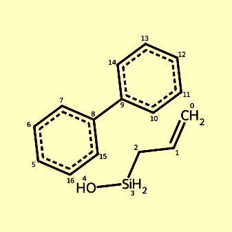 C=CC[SiH2]O.c1ccc(-c2ccccc2)cc1